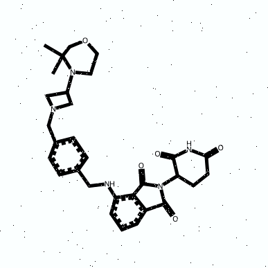 CC1(C)COCCN1C1CN(Cc2ccc(CNc3cccc4c3C(=O)N(C3CCC(=O)NC3=O)C4=O)cc2)C1